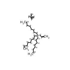 C=CC[P+](CCCCCCCC)(CCCCCCCC)CCCCCCCC.F[B-](F)(F)F